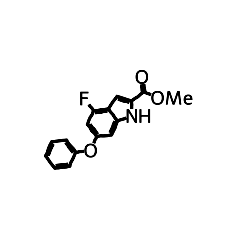 COC(=O)c1cc2c(F)cc(Oc3ccccc3)cc2[nH]1